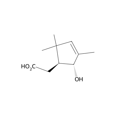 CC1=CC(C)(C)[C@H](CC(=O)O)[C@H]1O